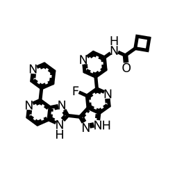 O=C(Nc1cncc(-c2ncc3[nH]nc(-c4nc5c(-c6cccnc6)nccc5[nH]4)c3c2F)c1)C1CCC1